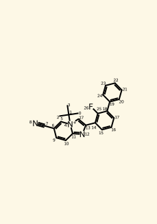 CC(C)(C)[N+]12C=C(C#N)C=CC1=NC(c1cccc(-c3ccccc3)c1F)=C2